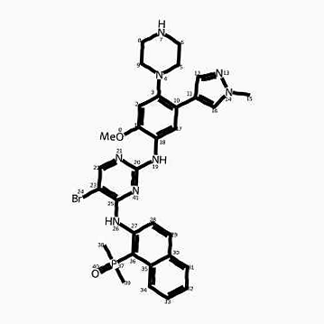 COc1cc(N2CCNCC2)c(-c2cnn(C)c2)cc1Nc1ncc(Br)c(Nc2ccc3ccccc3c2P(C)(C)=O)n1